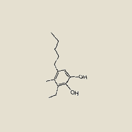 CCCCCc1cc(O)c(O)c(CC)c1C